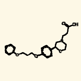 O=C(O)CCN1CCOC(c2ccc(OCCCOc3ccccc3)cc2)C1